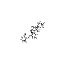 Cc1cc(OCc2c(F)cccc2F)n2nc(C)c(C(=O)NN3CCN(C)CC3)c2c1